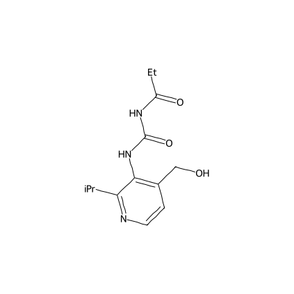 CCC(=O)NC(=O)Nc1c(CO)ccnc1C(C)C